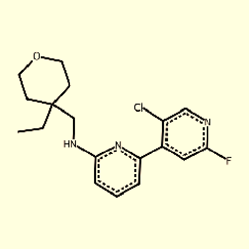 CCC1(CNc2cccc(-c3cc(F)ncc3Cl)n2)CCOCC1